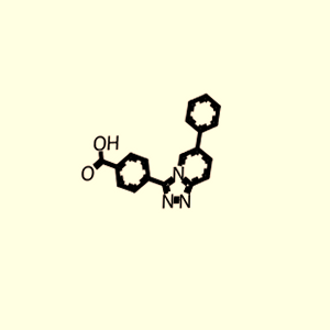 O=C(O)c1ccc(-c2nnc3ccc(-c4ccccc4)cn23)cc1